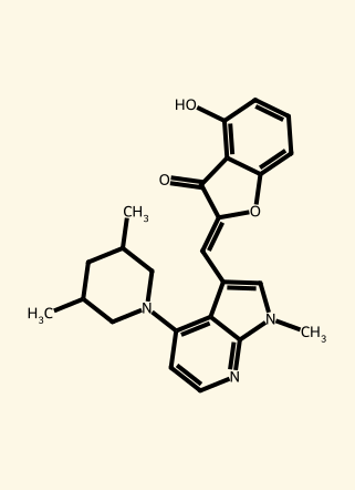 CC1CC(C)CN(c2ccnc3c2c(C=C2Oc4cccc(O)c4C2=O)cn3C)C1